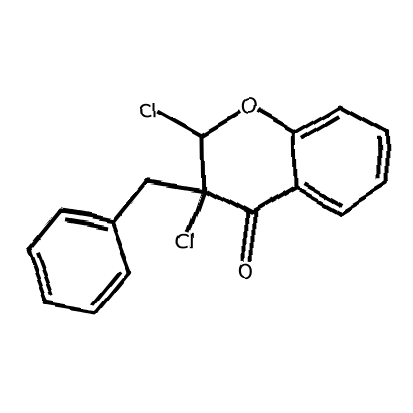 O=C1c2ccccc2OC(Cl)C1(Cl)Cc1ccccc1